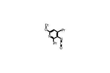 [CH2]COc1cc(C(C)C)c(N=C=O)c(C(C)C)n1